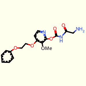 COc1c(OCCOc2ccccc2)ccnc1OC(=O)NC(=O)CN